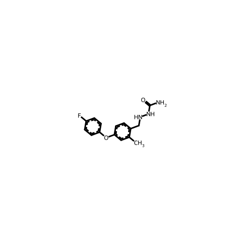 Cc1cc(Oc2ccc(F)cc2)ccc1CNNC(N)=O